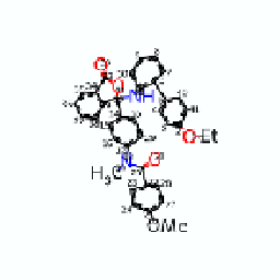 CCOc1ccc(-c2ccccc2NC2(c3ccc(N(C)C(=O)c4ccc(OC)cc4)cc3)OC(=O)c3ccccc32)cc1